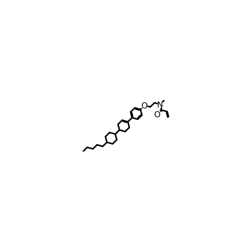 C=CC(=O)N(C)CCOc1ccc(C2=CCC(C3CCC(CCCCC)CC3)CC2)cc1